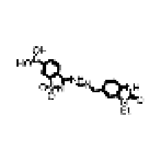 CCn1c(=O)[nH]c2ccc(/C=N/CNC3=NS(=O)(=O)c4cc(B(O)O)ccc43)cc21